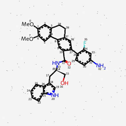 COc1cc2c(cc1OC)-c1cc(C(=O)N[C@@H](CO)Cc3c[nH]c4ccccc34)c(-c3ccc(N)cc3F)cc1CC2